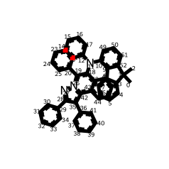 CC1(C)c2ccccc2-c2c(N(c3ccccc3)c3c(-c4ccccc4)n4nc(-c5ccccc5)c(-c5ccccc5)c4c4ccccc34)cccc21